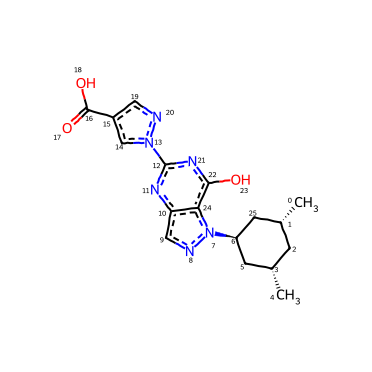 C[C@@H]1C[C@H](C)C[C@@H](n2ncc3nc(-n4cc(C(=O)O)cn4)nc(O)c32)C1